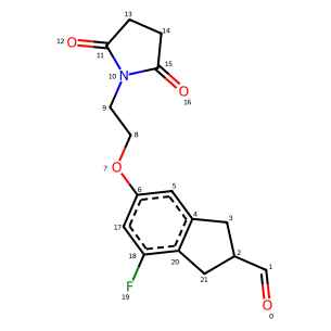 O=CC1Cc2cc(OCCN3C(=O)CCC3=O)cc(F)c2C1